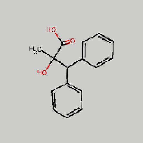 CC(O)(C(=O)O)C(c1ccccc1)c1ccccc1